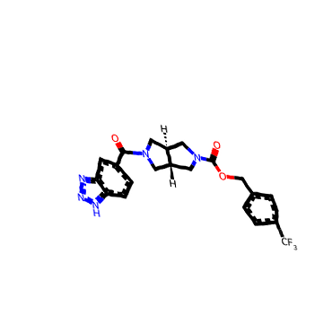 O=C(OCc1ccc(C(F)(F)F)cc1)N1C[C@@H]2CN(C(=O)c3ccc4[nH]nnc4c3)C[C@H]2C1